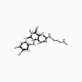 CNCCCNc1nnc2c(n1)c(=O)n(C)c(=O)n2Cc1ccc(F)c(F)c1